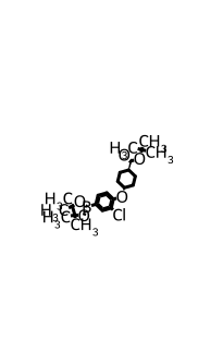 CC(C)(C)OC(=O)[C@H]1CC[C@H](Oc2ccc(B3OC(C)(C)C(C)(C)O3)cc2Cl)CC1